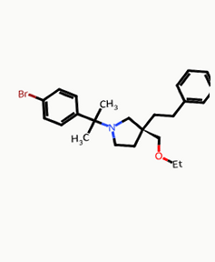 CCOC[C@@]1(CCc2ccccc2)CCN(C(C)(C)c2ccc(Br)cc2)C1